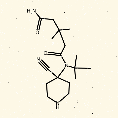 CC(C)(CC(N)=O)CC(=O)N(C(C)(C)C)C1(C#N)CCNCC1